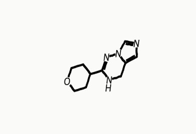 c1ncn2c1CNC(C1CCOCC1)=N2